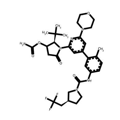 Cc1ccc(NC(=O)N2CC[C@@H](CC(F)(F)F)C2)cc1-c1cc(N2CCOCC2)nc(N2C(=O)CC(OC(N)=O)[C@H]2C(C)(C)C)c1